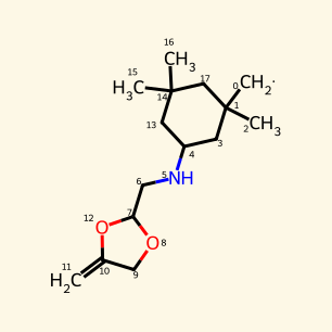 [CH2]C1(C)CC(NCC2OCC(=C)O2)CC(C)(C)C1